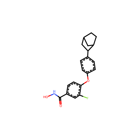 O=C(NO)c1ccc(Oc2ccc(C3CC4CCC3C4)cc2)c(F)c1